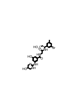 Cc1cc(Br)cc([C@H](CC(=O)O)NC(=O)CNC(=O)c2cc(O)cc(NC3=NCC(O)CN3)c2)c1